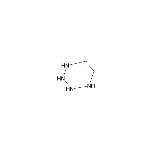 [CH]1CNNNN1